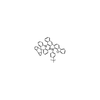 CC(C)(C)c1ccc(N2B3c4cccc5c4N(c4ccccc4C54c5ccccc5-c5ccccc54)c4c3c(cc3ccccc43)-c3ccc4c(oc5ccccc54)c32)cc1